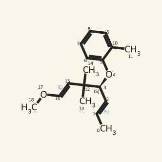 C/C=C/[C@H](Oc1ccccc1C)C(C)(C)/C=C/OC